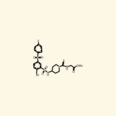 COC(=O)CNC(=S)N1CCC(NS(=O)(=O)c2cc(S(=O)(=O)c3ccc(F)cc3)ccc2C(C)C)CC1